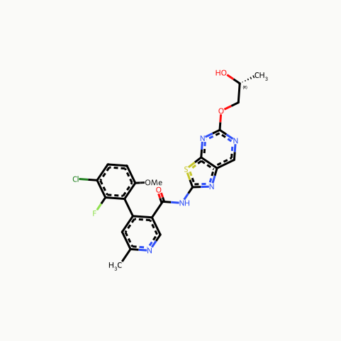 COc1ccc(Cl)c(F)c1-c1cc(C)ncc1C(=O)Nc1nc2cnc(OC[C@@H](C)O)nc2s1